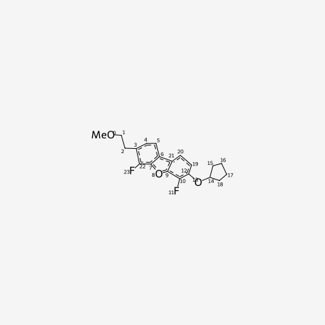 COCCc1ccc2c(oc3c(F)c(OC4CCCC4)ccc32)c1F